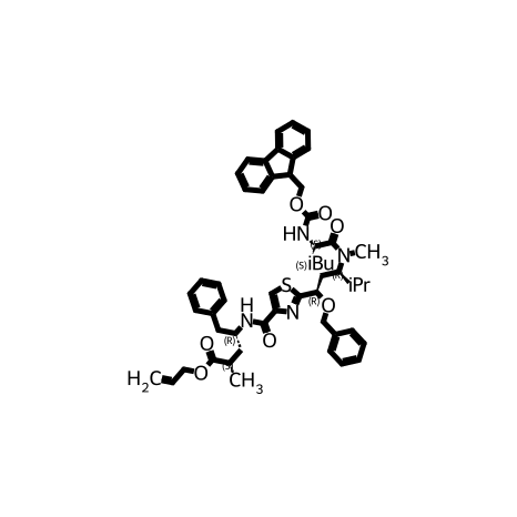 C=CCOC(=O)[C@@H](C)C[C@H](Cc1ccccc1)NC(=O)c1csc([C@@H](C[C@H](C(C)C)N(C)C(=O)[C@@H](NC(=O)OCC2c3ccccc3-c3ccccc32)[C@@H](C)CC)OCc2ccccc2)n1